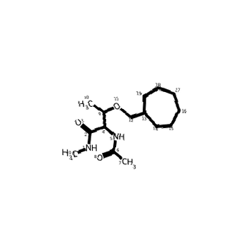 CNC(=O)C(NC(C)=O)C(C)OCC1CCCCCC1